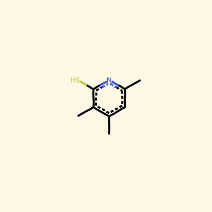 Cc1cc(C)c(C)c(S)n1